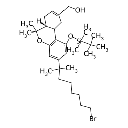 CC(C)(CCCCCCBr)c1cc2c(c(O[Si](C)(C)C(C)(C)C)c1)C1CC(CO)=CC[C@H]1C(C)(C)O2